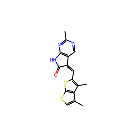 Cc1ncc2c(n1)NC(=O)C2=Cc1sc2scc(C)c2c1C